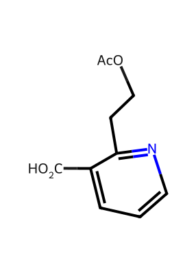 CC(=O)OCCc1ncccc1C(=O)O